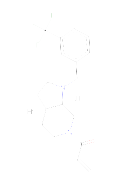 C=CC(=O)N1CC[C@H]2CCN(Cc3cccc(C(F)(F)F)c3)[C@H]2C1